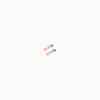 [O]=[Ni].[O]=[W]